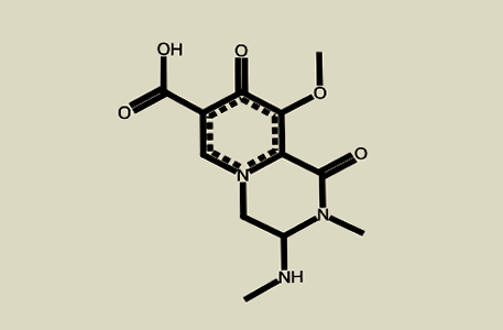 CNC1Cn2cc(C(=O)O)c(=O)c(OC)c2C(=O)N1C